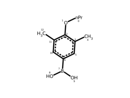 CCCOc1c(C)cc(B(O)O)cc1C